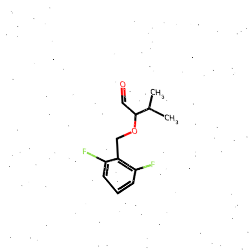 CC(C)C(C=O)OCc1c(F)cccc1F